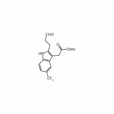 COC(=O)Cc1c(CCC=O)[nH]c2ccc(C(F)(F)F)cc12